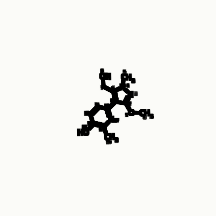 COc1nn(C)c(CO)c1-c1ccc(O)c(C)n1